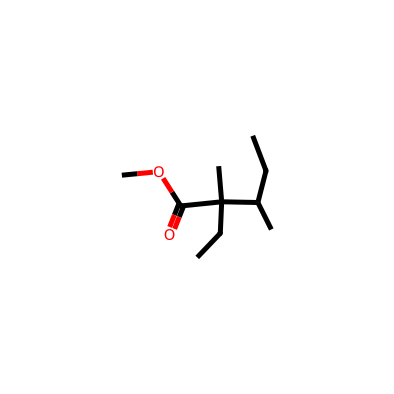 CCC(C)C(C)(CC)C(=O)OC